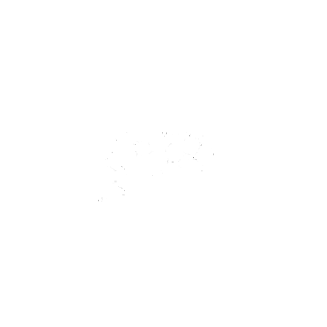 COc1c(-c2cc3c(s2)CCCC3NC(=O)[C@@H](N)CC(C)C)c(C2CC2)cc2c(=O)c(C(=O)O)c[nH]c12